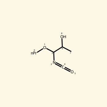 CCCOC(N=C=O)C(C)O